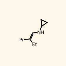 CC/C(=C\NC1CC1)C(C)C